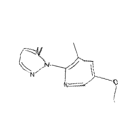 COc1cnc(-n2nccn2)c(C)c1